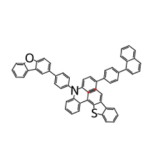 c1ccc(N(c2ccc(-c3ccc(-c4cccc5ccccc45)cc3)cc2)c2ccc(-c3ccc4oc5ccccc5c4c3)cc2)c(-c2cccc3c2sc2ccccc23)c1